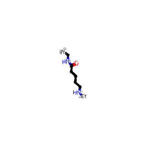 CCNCCCCC(=O)NCC(C)C